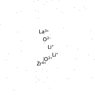 [La+3].[Li+].[Li+].[O+2].[O-2].[Zr+4]